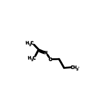 [CH2]CCON=C(C)C